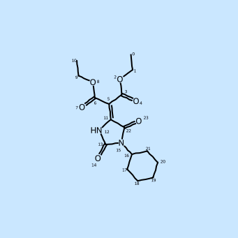 CCOC(=O)C(C(=O)OCC)=C1NC(=O)N(C2CCCCC2)C1=O